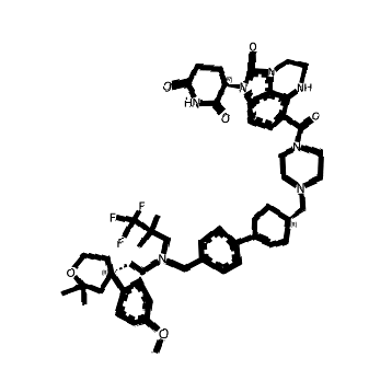 COc1ccc([C@]2(CCN(Cc3ccc(C4=CC[C@H](CN5CCN(C(=O)c6ccc7c8c6NCCn8c(=O)n7[C@@H]6CCC(=O)NC6=O)CC5)CC4)cc3)CC(C)(C)C(F)(F)F)CCOC(C)(C)C2)cc1